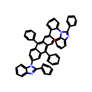 c1ccc(-c2c3ccc(-n4c(-c5ccccc5)nc5ccccc54)cc3c(-c3ccccc3)c3ccc(-c4ccccc4-n4c(-c5ccccc5)nc5ccccc54)cc23)cc1